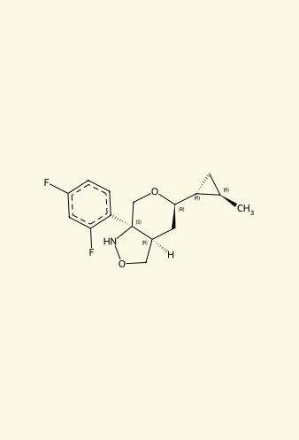 C[C@@H]1C[C@H]1[C@H]1C[C@H]2CON[C@@]2(c2ccc(F)cc2F)CO1